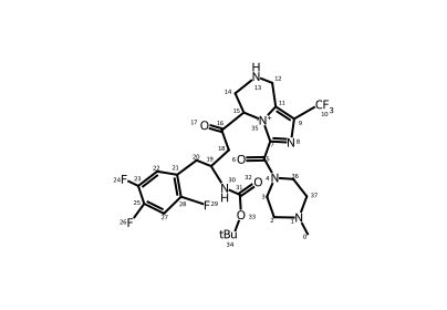 CN1CCN(C(=O)C2=NC(C(F)(F)F)=C3CNCC(C(=O)CC(Cc4cc(F)c(F)cc4F)NC(=O)OC(C)(C)C)[N+]23)CC1